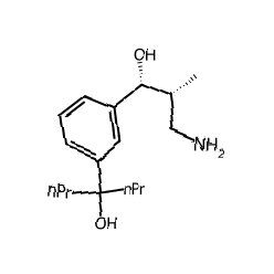 CCCC(O)(CCC)c1cccc([C@H](O)[C@H](C)CN)c1